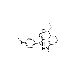 CCC(=O)c1cccc(NC)c1C(=O)Nc1ccc(OC)cc1